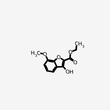 CCOC(=O)c1oc2c(OC)cccc2c1O